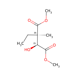 CC[C@@](C)(C(=O)OC)[C@H](O)C(=O)OC